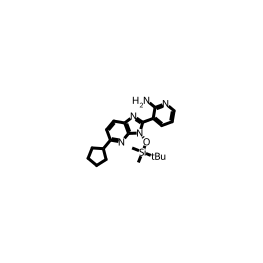 CC(C)(C)[Si](C)(C)On1c(-c2cccnc2N)nc2ccc(C3CCCC3)nc21